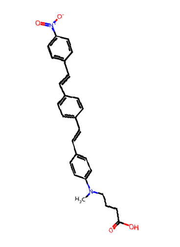 CN(CCCC(=O)O)c1ccc(/C=C/c2ccc(/C=C/c3ccc([N+](=O)[O-])cc3)cc2)cc1